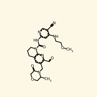 COCCNc1cc(NC(=O)N2CCCc3cc(CN4C(=O)COCC4C)c(C=O)nc32)ncc1C#N